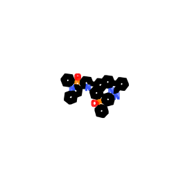 O=P(c1ccccc1)(c1ccccc1)c1ccc2nc3c4ccccc4c4ccc5cc(-c6ccc(P(=O)(c7ccccc7)c7ccc8ccccc8n7)cn6)ccc5c4n3c2c1